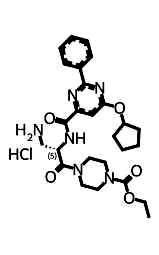 CCOC(=O)N1CCN(C(=O)[C@H](CN)NC(=O)c2cc(OC3CCCC3)nc(-c3ccccc3)n2)CC1.Cl